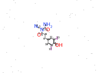 N#CN(C(N)=O)C(=O)[CH]Cc1cc(I)c(O)c(I)c1